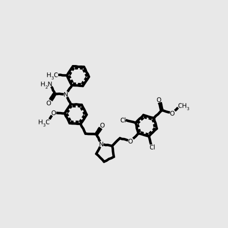 COC(=O)c1cc(Cl)c(OCC2CCCN2C(=O)Cc2ccc(N(C(N)=O)c3ccccc3C)c(OC)c2)c(Cl)c1